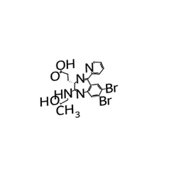 C[C@H](O)CNC1=Nc2cc(Br)c(Br)cc2C(c2ccccn2)=N[C@H]1CCC(=O)O